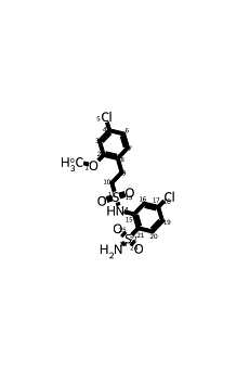 COc1cc(Cl)ccc1CCS(=O)(=O)Nc1cc(Cl)ccc1S(N)(=O)=O